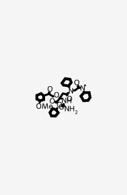 COc1cccc(C(=O)COC(CC(=O)N(CC(=O)N(C)c2ccccc2)c2ccccc2)(NC(N)=O)C(=O)Oc2ccccc2)c1